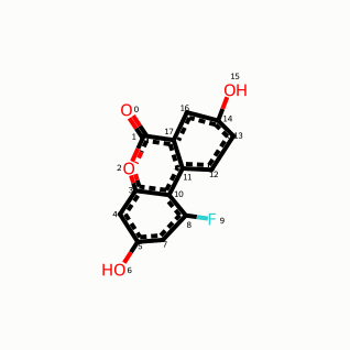 O=c1oc2cc(O)cc(F)c2c2ccc(O)cc12